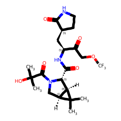 CC(C)(O)C(=O)N1C[C@H]2[C@@H]([C@H]1C(=O)N[C@@H](C[C@@H]1CCNC1=O)C(=O)COC(F)(F)F)C2(C)C